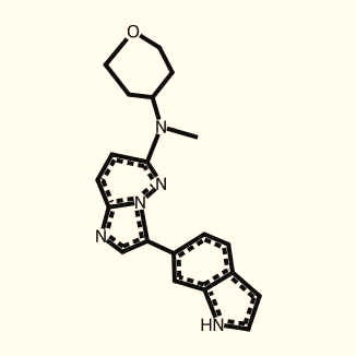 CN(c1ccc2ncc(-c3ccc4cc[nH]c4c3)n2n1)C1CCOCC1